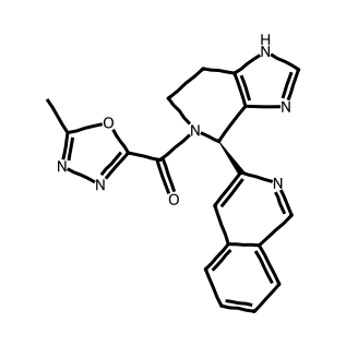 Cc1nnc(C(=O)N2CCc3[nH]cnc3[C@H]2c2cc3ccccc3cn2)o1